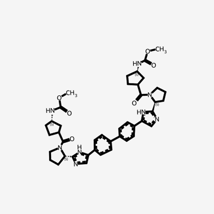 COC(=O)N[C@H]1CCC(C(=O)N2CCC[C@H]2c2ncc(-c3ccc(-c4ccc(-c5cnc([C@@H]6CCCN6C(=O)C6CC[C@H](NC(=O)OC)C6)[nH]5)cc4)cc3)[nH]2)C1